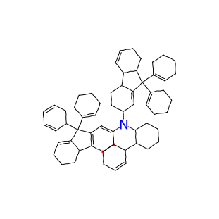 C1=CCC(C2(C3=CCCCC3)C3=CCCCC3C3=C2C=C(N(C2C=C4C(CC2)C2C=CCCC2C4(C2=CCCCC2)C2=CCCCC2)C2CCCCC2C2C=CCCC2)CC3)C=C1